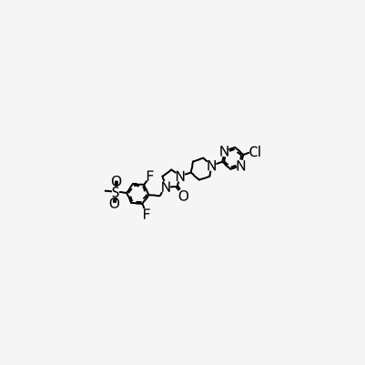 CS(=O)(=O)c1cc(F)c(CN2CCN(C3CCN(c4cnc(Cl)cn4)CC3)C2=O)c(F)c1